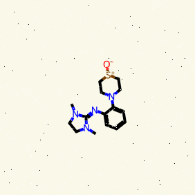 CN1CCN(C)C1=Nc1ccccc1N1CC[S+]([O-])CC1